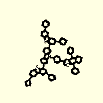 c1ccc(-c2ccc3sc4c(-c5ccc6c7ccc(-c8cc(-c9ccccc9)cc9c8sc8ccc(-c%10ccccc%10)cc89)cc7n(-c7ccc(-c8ccc9c(-c%10ccccc%10)c%10ccccc%10c(-c%10ccccc%10)c9c8)cc7)c6c5)cc(-c5ccccc5)cc4c3c2)cc1